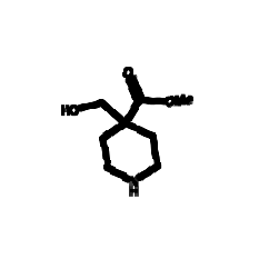 COC(=O)C1(CO)CCNCC1